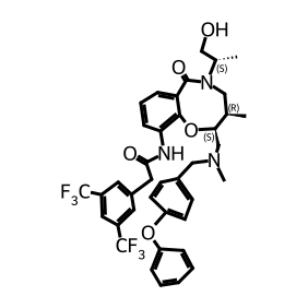 C[C@@H]1CN([C@@H](C)CO)C(=O)c2cccc(NC(=O)Cc3cc(C(F)(F)F)cc(C(F)(F)F)c3)c2O[C@@H]1CN(C)Cc1ccc(Oc2ccccc2)cc1